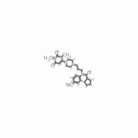 Cn1c(N2CCN(CCCN(C(=O)C3CCCC3)c3ccc(C#N)cc3)CC2)cc(=O)n(C)c1=O